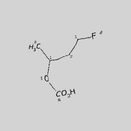 CC(CCF)OC(=O)O